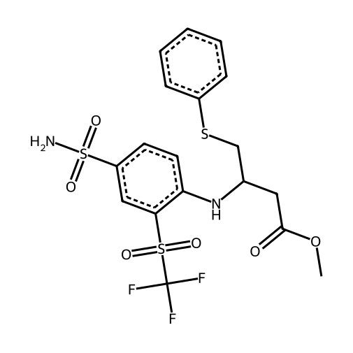 COC(=O)CC(CSc1ccccc1)Nc1ccc(S(N)(=O)=O)cc1S(=O)(=O)C(F)(F)F